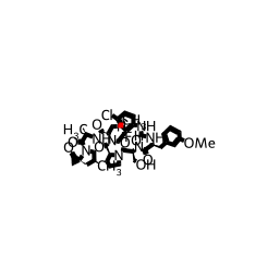 COc1cccc(C[C@H](NC(=O)Nc2ccc(Cl)cc2F)C(=O)N[C@@H](CO)C(=O)N2CCC[C@H]2C(=O)N2CCN(C)C[C@H]2C(=O)N[C@@H](C)C(=O)N2C[C@H](C)C[C@@]23CC3=O)c1